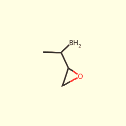 BC(C)C1CO1